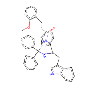 COc1ccccc1CCC(=O)NCC(Cc1c[nH]c2ccccc12)NC(c1ccccc1)(c1ccccc1)c1ccccc1